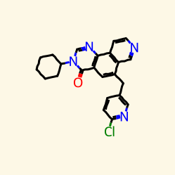 O=c1c2cc(Cc3ccc(Cl)nc3)c3cnccc3c2ncn1C1CCCCC1